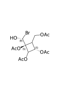 CC(=O)OCC1[C@H](OC(C)=O)C(OC(C)=O)[C@]1(OC(C)=O)[C@H](O)Br